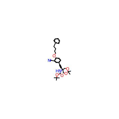 CC(C)(C)OC(=O)NC1(C#Cc2ccc(OCCCCc3ccccc3)c(C#N)c2)COC(C)(C)OC1